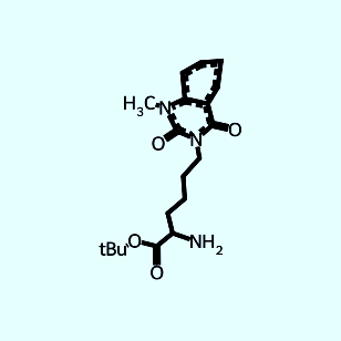 Cn1c(=O)n(CCCCC(N)C(=O)OC(C)(C)C)c(=O)c2ccccc21